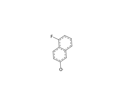 [O]c1ccc2c(F)cccc2c1